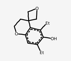 CCc1cc2c(c(CC)c1O)C1(CCO2)COC1